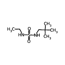 CCNS(=O)(=O)NCC(C)(C)C